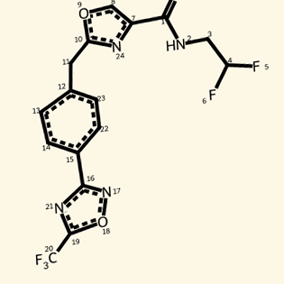 O=C(NCC(F)F)c1coc(Cc2ccc(-c3noc(C(F)(F)F)n3)cc2)n1